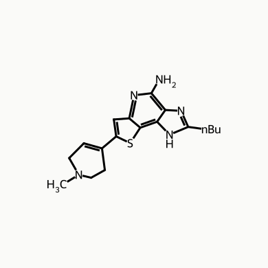 CCCCc1nc2c(N)nc3cc(C4=CCN(C)CC4)sc3c2[nH]1